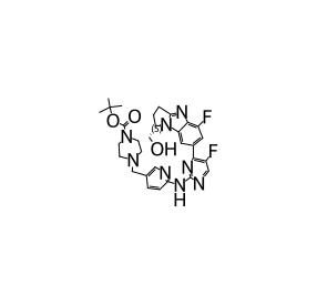 CC(C)(C)OC(=O)N1CCN(Cc2ccc(Nc3ncc(F)c(-c4cc(F)c5nc6n(c5c4)[C@H](CO)CC6)n3)nc2)CC1